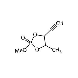 C#CC1OP(=O)(OC)OC1C